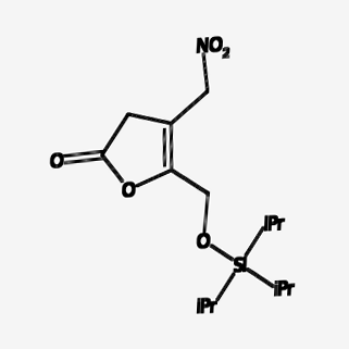 CC(C)[Si](OCC1=C(C[N+](=O)[O-])CC(=O)O1)(C(C)C)C(C)C